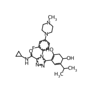 CC(C)C1=CC(c2nnc(C(=O)NC3CC3)n2-c2ccc(N3CCN(C)CC3)cc2F)=C(O)CC1O